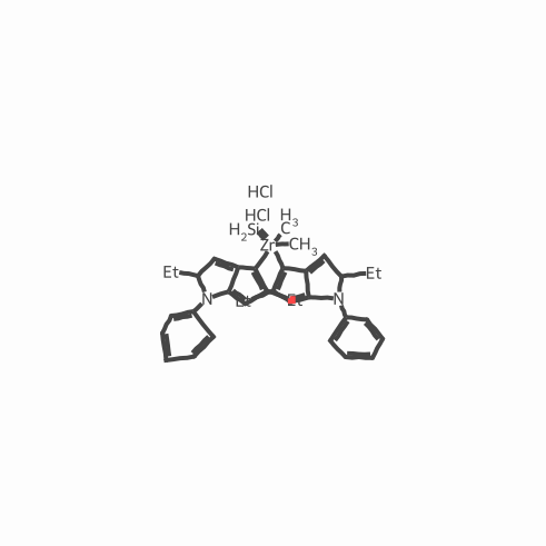 CCC1=[C]([Zr]([CH3])([CH3])(=[SiH2])[C]2=C(CC)C=C3C2=CC(CC)N3c2ccccc2)C2=CC(CC)N(c3ccccc3)C2=C1.Cl.Cl